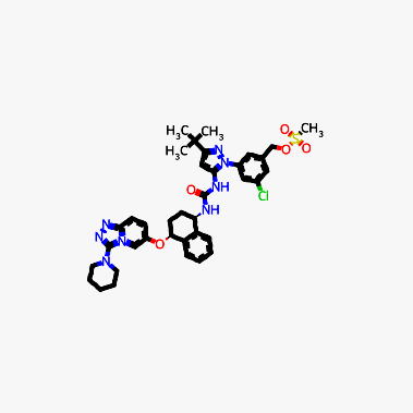 CC(C)(C)c1cc(NC(=O)N[C@H]2CC[C@@H](Oc3ccc4nnc(N5CCCCC5)n4c3)c3ccccc32)n(-c2cc(Cl)cc(COS(C)(=O)=O)c2)n1